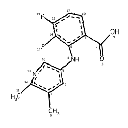 Cc1cc(Nc2c(C(=O)O)ccc(F)c2F)cnc1C